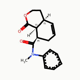 CN(C(=O)[C@@H]1CC=C[C@@H]2CCOC(=O)[C@@H]21)c1ccccc1